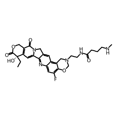 CC[C@@]1(O)C(=O)OCc2c1cc1n(c2=O)Cc2cc3c4c(c(F)cc3nc2-1)OCN(CCNC(=O)CCCNC)C4